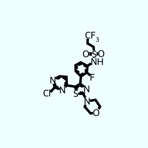 O=S(=O)(CCC(F)(F)F)Nc1cccc(-c2nc(N3CCOCC3)sc2-c2ccnc(Cl)n2)c1F